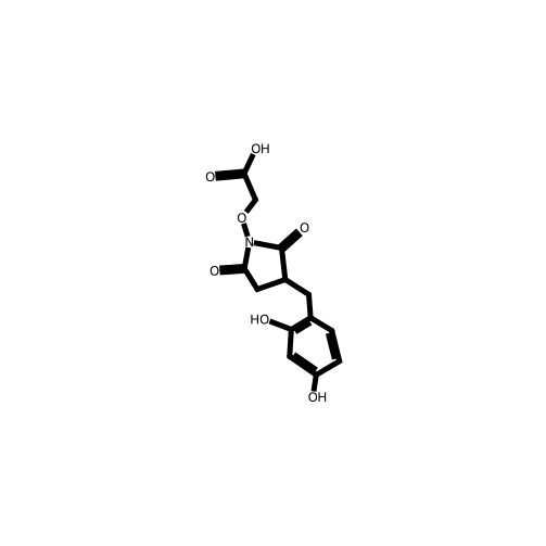 O=C(O)CON1C(=O)CC(Cc2ccc(O)cc2O)C1=O